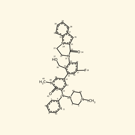 CN1CCN(N(c2ccccn2)c2cc(-c3cc(F)cc(N4CCn5c(cc6ccccc65)C4=O)c3CO)cn(C)c2=O)CC1